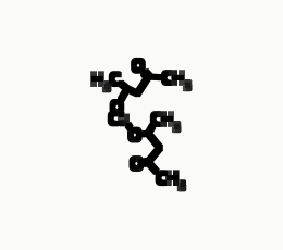 CC(=O)CC(C)[O][Cu][O]C(C)CC(C)=O